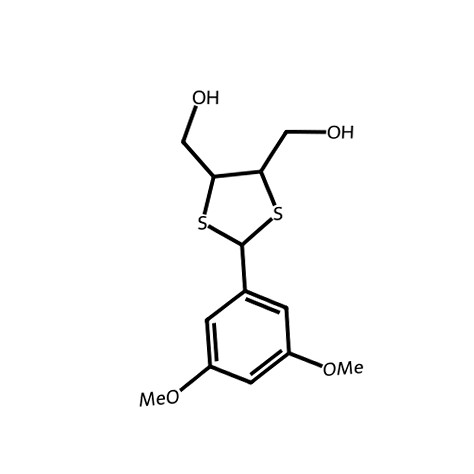 COc1cc(OC)cc(C2SC(CO)C(CO)S2)c1